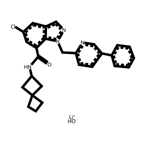 O=C(NC1CC2(CCC2)C1)c1cc(Cl)cc2cnn(Cc3ccc(-c4ccccc4)cn3)c12.[Li+].[OH-]